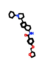 O=C(N[C@H]1CCc2cc([C@@H]3CCCN(C4CCCCC4)C3)ccc2C1)c1ccc(OC[C@@H]2CCCO2)cc1